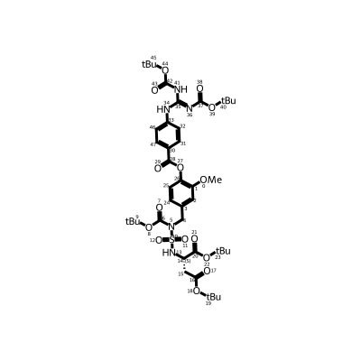 COc1cc(CN(C(=O)OC(C)(C)C)S(=O)(=O)N[C@@H](CC(=O)OC(C)(C)C)C(=O)OC(C)(C)C)ccc1OC(=O)c1ccc(NC(=NC(=O)OC(C)(C)C)NC(=O)OC(C)(C)C)cc1